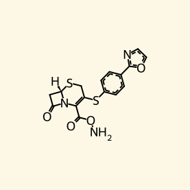 NOC(=O)C1=C(Sc2ccc(-c3ncco3)cc2)CS[C@H]2CC(=O)N12